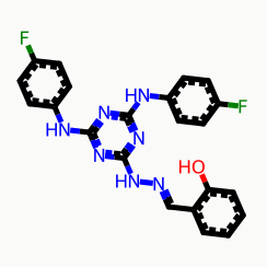 Oc1ccccc1/C=N/Nc1nc(Nc2ccc(F)cc2)nc(Nc2ccc(F)cc2)n1